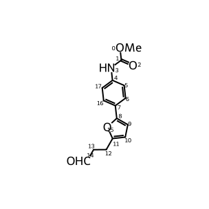 COC(=O)Nc1ccc(-c2ccc(CCC=O)o2)cc1